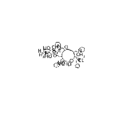 CCN(Cc1ccccc1)CC1C=C(CC(C)N2CCCCC2)C=CC(=O)C(CC(C)N2CCCCC2)CCC(CCO[C@@H]2O[C@H](C)[C@@H](O)[C@H](N(C)C)[C@H]2O)C(CC(C)N2CCCCC2)C(O)CC(=O)OC1